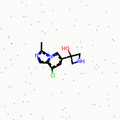 Cc1ncc2c(Cl)cc(C3(O)CNC3)cn12